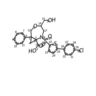 O=C(O)[C@@]12CC1(c1ccccc1)COC(CO)CN2S(=O)(=O)c1ccc(-c2ccc(Cl)cc2)s1